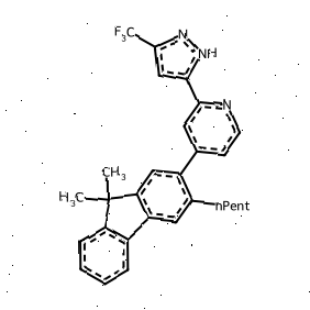 CCCCCc1cc2c(cc1-c1ccnc(-c3cc(C(F)(F)F)n[nH]3)c1)C(C)(C)c1ccccc1-2